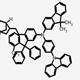 Cc1ccccc1C(c1ccccc1)(c1ccccc1)c1cc(N(c2ccc(-n3c4ccccc4c4ccccc43)cc2)c2ccc3c(c2)C(C)(C)c2ccccc2-3)ccc1CCC1C[C@@H]2CC[C@H]1C2